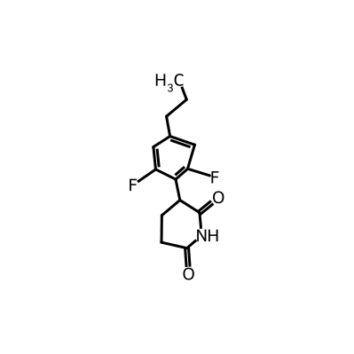 CCCc1cc(F)c(C2CCC(=O)NC2=O)c(F)c1